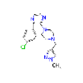 Cn1cc(CN2CCN(c3nccnc3-c3ccc(Cl)cc3)CC2)cn1